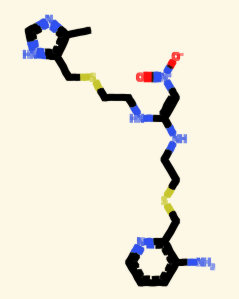 Cc1nc[nH]c1CSCCNC(=C[N+](=O)[O-])NCCSCc1ncccc1N